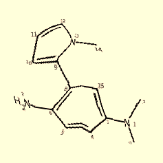 CN(C)c1ccc(N)c(-c2cccn2C)c1